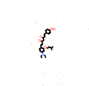 CCN(CC)c1ccc(C=CC(=O)CC(=O)C=Cc2ccc(O)cc2)c(OCC=C(C)C)c1